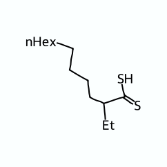 CCCCCCCCCCC(CC)C(=S)S